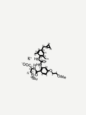 COCCOc1ccc(C(=O)N[C@H](C(=O)[O-])[C@@H](C)OC(C)(C)C)c(NC(=O)Nc2c(C)cc(CC3CC3)cc2C)c1.[K+]